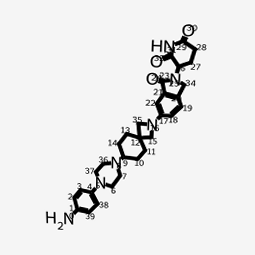 Nc1ccc(N2CCN(C3CCC4(CC3)CN(c3ccc5c(c3)C(=O)N(C3CCC(=O)NC3=O)C5)C4)CC2)cc1